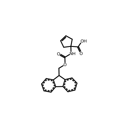 O=C(NC1(C(=O)O)CC=CC1)OCC1c2ccccc2-c2ccccc21